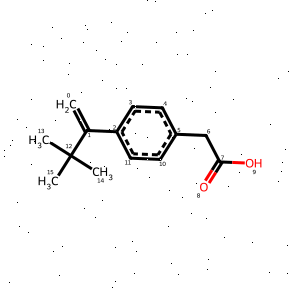 C=C(c1ccc(CC(=O)O)cc1)C(C)(C)C